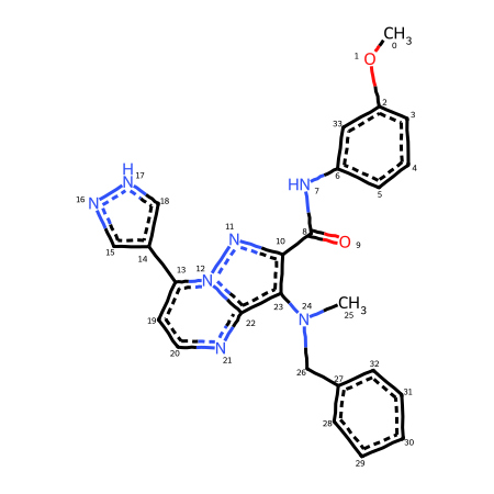 COc1cccc(NC(=O)c2nn3c(-c4cn[nH]c4)ccnc3c2N(C)Cc2ccccc2)c1